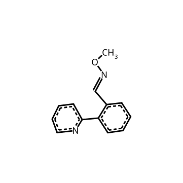 CO/N=C/c1ccccc1-c1ccccn1